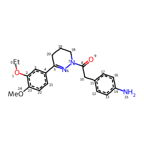 CCOc1cc(C2=NN(C(=O)Cc3ccc(N)cc3)CCC2)ccc1OC